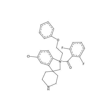 O=C(c1c(F)cccc1F)[N+]1(CCOc2ccccc2)CC2(CCNCC2)c2cc(Cl)ccc21